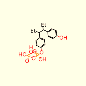 CCC(c1ccc(O)cc1)C(CC)c1ccc(OP(=O)(O)OP(=O)(O)O)cc1